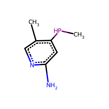 CPc1cc(N)ncc1C